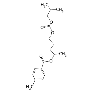 Cc1ccc(C(=O)OC(C)CCCOC(=O)OCC(C)C)cc1